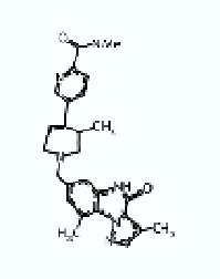 CNC(=O)c1ccc(C2=CCN(Cc3cc(C)c4c(c3)[nH]c(=O)c3c(C)cnn34)CC2C)cn1